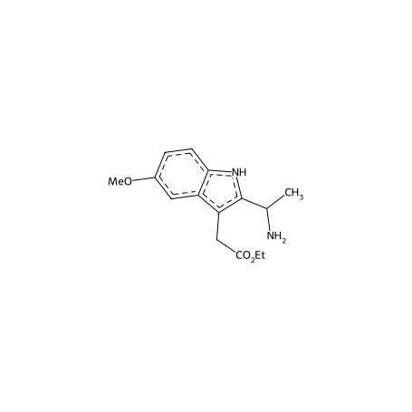 CCOC(=O)Cc1c(C(C)N)[nH]c2ccc(OC)cc12